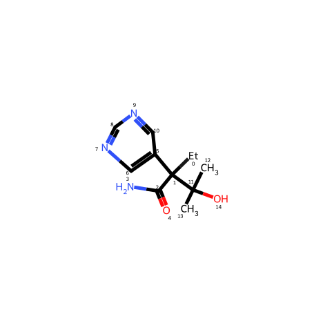 CCC(C(N)=O)(c1cncnc1)C(C)(C)O